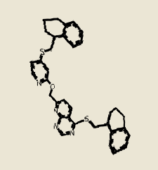 c1ccc2c(c1)CCCC2CSc1ccnc(OCc2ccc3c(SCC4CCCc5ccccc54)ncnc3n2)c1